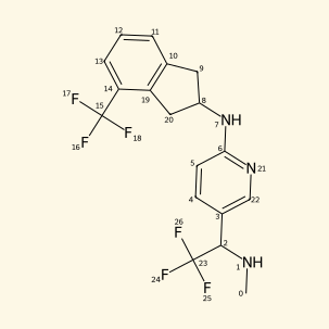 CNC(c1ccc(NC2Cc3cccc(C(F)(F)F)c3C2)nc1)C(F)(F)F